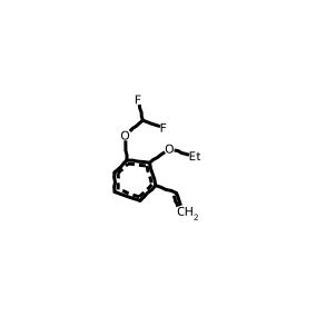 C=Cc1cccc(OC(F)F)c1OCC